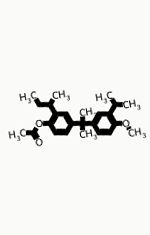 CCC(C)c1cc(C(C)(C)c2ccc(OC)c(C(C)C)c2)ccc1OC(C)=O